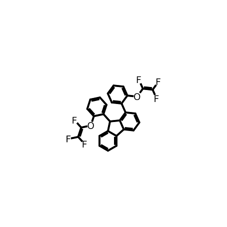 FC(F)=C(F)Oc1ccccc1-c1cccc2c1C(c1ccccc1OC(F)=C(F)F)c1ccccc1-2